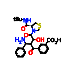 CC(C)(C)NC(=O)[C@@H]1CSCN1C(=O)C(O)C(C(=O)c1cccc(C(=O)O)c1)C(N)c1ccccc1